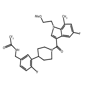 COCCn1cc(C(=O)N2CCC(c3cc(CNC(=O)C(F)(F)F)ccc3F)CC2)c2cc(F)cc(C)c21